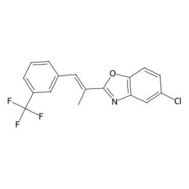 C/C(=C\c1cccc(C(F)(F)F)c1)c1nc2cc(Cl)ccc2o1